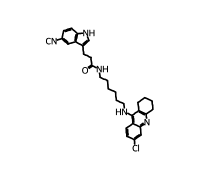 [C-]#[N+]c1ccc2[nH]cc(CCC(=O)NCCCCCCNc3c4c(nc5cc(Cl)ccc35)CCCC4)c2c1